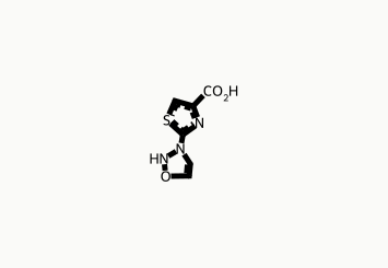 O=C(O)c1csc(N2C=CON2)n1